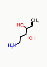 C=C[C@H](O)[C@H](O)CCN